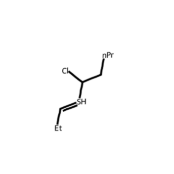 CCC=[SH]C(Cl)CCCC